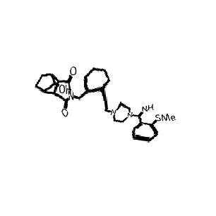 CSc1ccccc1C(=N)N1CCN(CC2CCCCC2CN2C(=O)C3C4CCC(C4O)C3C2=O)CC1